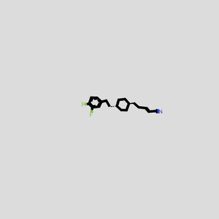 N#C/C=C/CC[C@H]1CC[C@H](CCc2ccc(F)c(F)c2)CC1